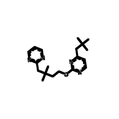 CC(C)(C)Cc1ccnc(OCCC(C)(C)Cc2ncccn2)n1